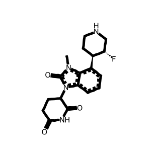 Cn1c(=O)n(C2CCC(=O)NC2=O)c2cccc([C@H]3CCNC[C@@H]3F)c21